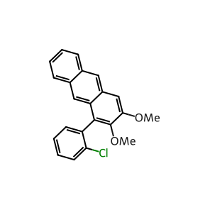 COc1cc2cc3ccccc3cc2c(-c2ccccc2Cl)c1OC